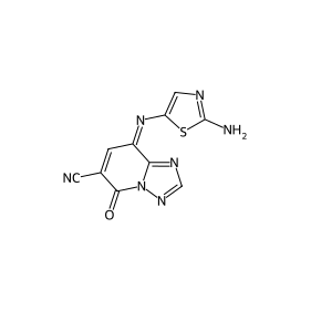 N#CC1=C/C(=N/c2cnc(N)s2)c2ncnn2C1=O